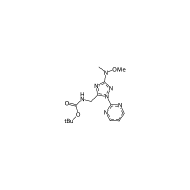 CON(C)c1nc(CNC(=O)OC(C)(C)C)n(-c2ncccn2)n1